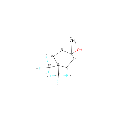 CC1(O)CCC(C(F)(F)F)(C(F)(F)F)CC1